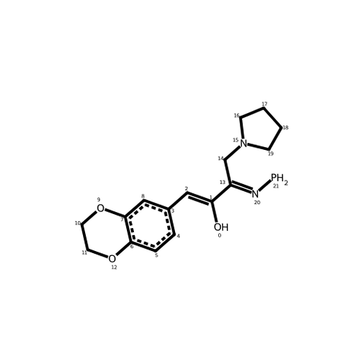 OC(=Cc1ccc2c(c1)OCCO2)/C(CN1CCCC1)=N/P